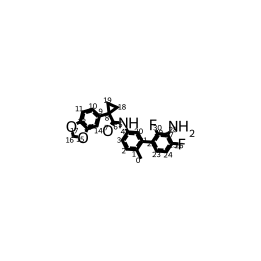 Cc1ccc(NC(=O)C2(c3ccc4c(c3)OCO4)CC2)cc1-c1ccc(F)c(N)c1F